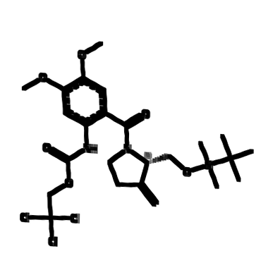 C=C1CCN(C(=O)c2cc(OC)c(OC)cc2NC(=O)OCC(Cl)(Cl)Cl)[C@@H]1CO[Si](C)(C)C(C)(C)C